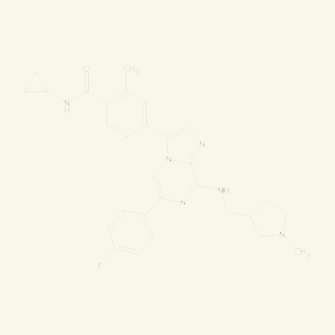 Cc1cc(-c2cnc3c(NCC4CCN(C)C4)nc(-c4ccc(F)cc4)cn23)ccc1C(=O)NC1CC1